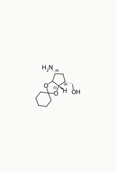 N[C@@H]1C[C@H](CO)[C@@H]2OC3(CCCCC3)OC12